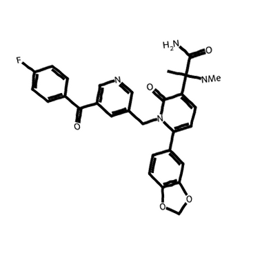 CNC(C)(C(N)=O)c1ccc(-c2ccc3c(c2)OCO3)n(Cc2cncc(C(=O)c3ccc(F)cc3)c2)c1=O